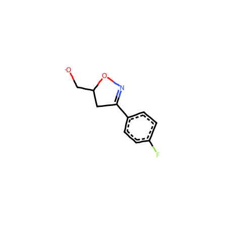 [O]CC1CC(c2ccc(F)cc2)=NO1